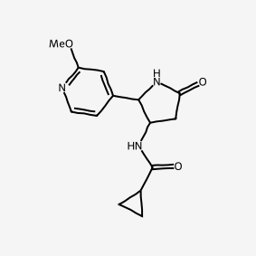 COc1cc(C2NC(=O)CC2NC(=O)C2CC2)ccn1